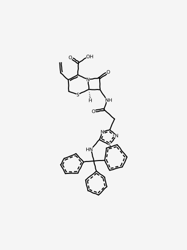 C=CC1=C(C(=O)O)N2C(=O)C(NC(=O)Cc3nsc(NC(c4ccccc4)(c4ccccc4)c4ccccc4)n3)[C@H]2SC1